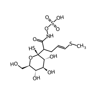 CS/C=C/CC(C(=O)NOS(=O)(=O)O)[C@@]1(S)O[C@H](CO)[C@@H](O)[C@H](O)[C@H]1O